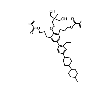 C=C(C)C(=O)OCCCc1cc(-c2ccc(C3CCC(C4CCC(C)CC4)CC3)cc2CC)cc(CCCOC(=O)C(=C)C)c1OCCC(C)(CO)CO